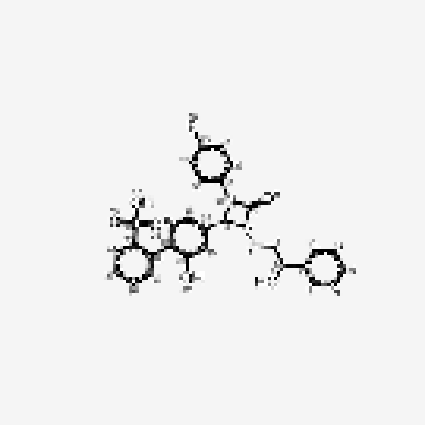 O=C1[C@H](CC[C@H](O)c2ccccc2)[C@@H](c2ccc(-c3ccccc3S(=O)(=O)O)c(O)c2)N1c1ccc(F)cc1